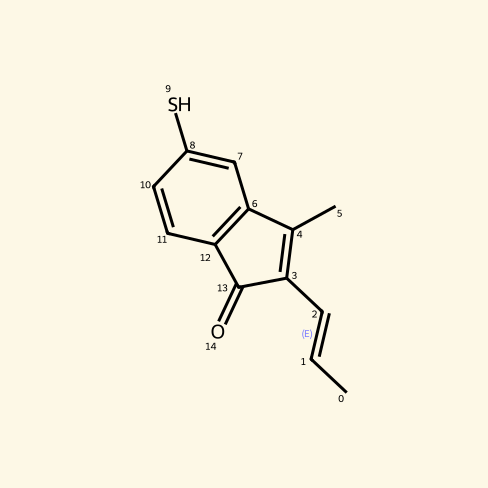 C/C=C/C1=C(C)c2cc(S)ccc2C1=O